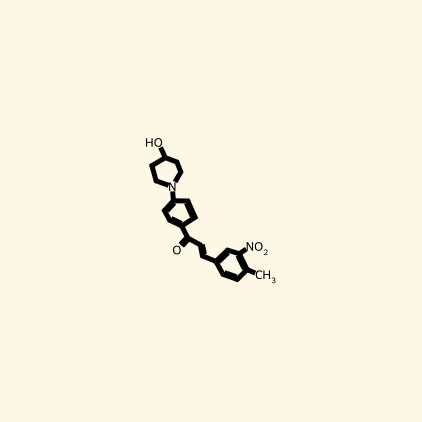 Cc1ccc(C=CC(=O)c2ccc(N3CCC(O)CC3)cc2)cc1[N+](=O)[O-]